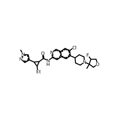 CCC1C(C(=O)Nc2cc3cc(C4CCN(C5(C)COCC5F)CC4)c(Cl)cc3cn2)C1c1cnn(C)c1